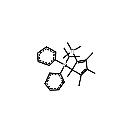 CC1=C(C)C(C)([Si](c2ccccc2)(c2ccccc2)C(C)C)[C]([Ti]([CH3])([CH3])[CH3])=C1C